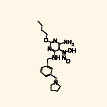 CCCCOc1nc(N)c(N(O)N=O)c(NCc2cccc(CN3CCCC3)c2)n1